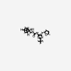 CC(C)(C)c1nn(C[C@H]2CCCO2)/c(=N/C(=O)NC[C@@H]2CC[C@H]3C[C@@H]2C3(C)C)s1